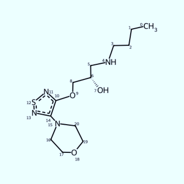 CCCCNC[C@H](O)COc1nsnc1N1CCOCC1